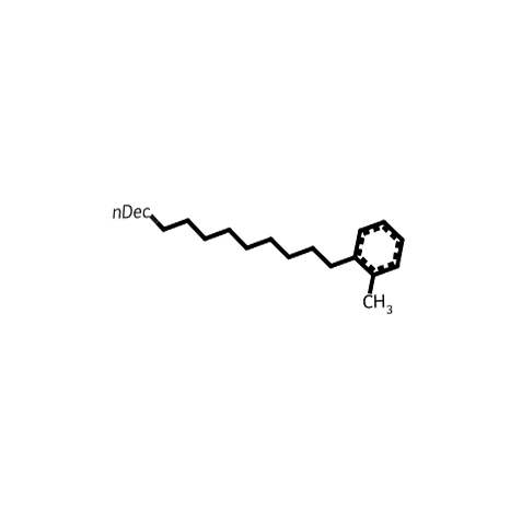 CCCCCCCCCCCCCCCCCCCc1ccccc1C